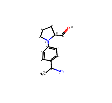 CC(N)c1ccc(N2CCCC2C=O)cc1